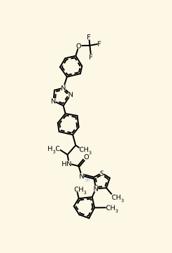 Cc1cccc(C)c1-n1c(C)cs/c1=N\C(=O)NC(C)C(C)c1ccc(-c2ncn(-c3ccc(OC(F)(F)F)cc3)n2)cc1